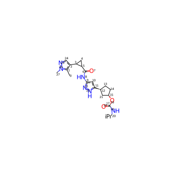 Cc1c(C2CC2C(=O)Nc2cc([C@H]3CC[C@@H](OC(=O)NC(C)C)C3)[nH]n2)cnn1C